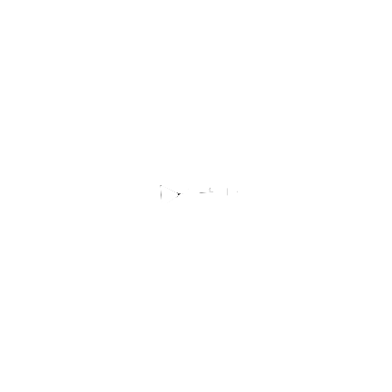 C1CO1.CC=O